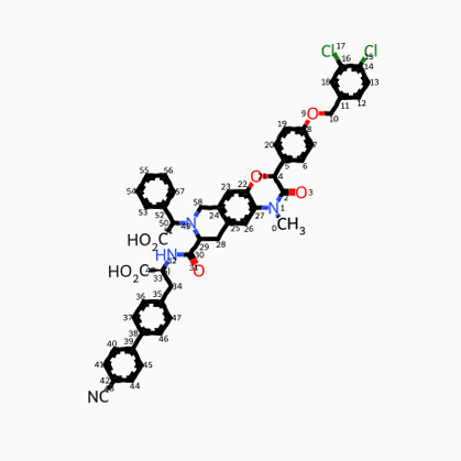 CN1C(=O)C(c2ccc(OCc3ccc(Cl)c(Cl)c3)cc2)Oc2cc3c(cc21)CC(C(=O)N[C@@H](Cc1ccc(-c2ccc(C#N)cc2)cc1)C(=O)O)N(C(C(=O)O)c1ccccc1)C3